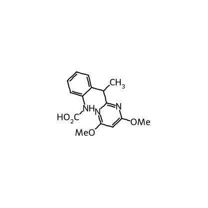 COc1cc(OC)nc(C(C)c2ccccc2NC(=O)O)n1